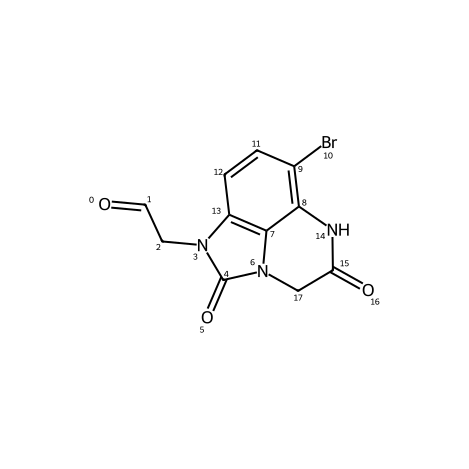 O=CCn1c(=O)n2c3c(c(Br)ccc31)NC(=O)C2